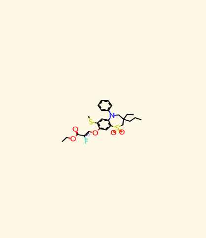 CCCC1(CC)CN(c2ccccc2)c2cc(SC)c(O/C=C(\F)C(=O)OCC)cc2S(=O)(=O)C1